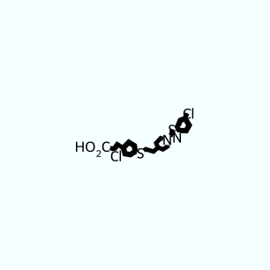 O=C(O)/C(Cl)=C/c1ccc(SCCC2CCN(c3nc4ccc(Cl)cc4s3)CC2)cc1